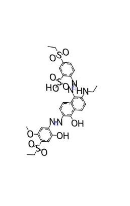 CCNc1ccc2c(O)c(/N=N/c3cc(OC)c(S(=O)(=O)CC)cc3O)ccc2c1/N=N/c1ccc(S(=O)(=O)CC)cc1S(=O)(=O)O